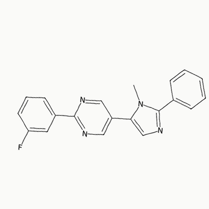 Cn1c(-c2cnc(-c3cccc(F)c3)nc2)cnc1-c1ccccc1